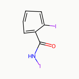 O=C(NI)c1ccccc1I